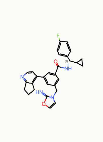 N=c1occn1Cc1cc(C(=O)N[C@H](c2ccc(F)cc2)C2CC2)cc(-c2ccnc3c2CCC3)c1